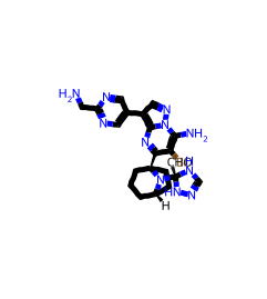 NCc1ncc(-c2cnn3c(N)c(Br)c([C@@]45CCC[C@@H](CC4)N5[C@]4(C=O)NC=NN4)nc23)cn1